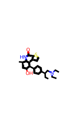 CCC(CN(CC)CC)c1ccc(-c2c(O)cc(C)c3[nH]c(=O)c4sccc4c23)cc1